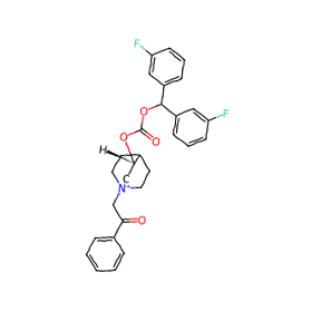 O=C(OC(c1cccc(F)c1)c1cccc(F)c1)O[C@H]1C[N+]2(CC(=O)c3ccccc3)CCC1CC2